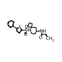 C=CC(=O)NC1CCN(S(=O)(=O)c2ccc(-c3ccccc3)s2)C2(CCC2)C1